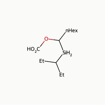 CCCCCCC(OC(=O)O)[SiH2]C(CC)CC